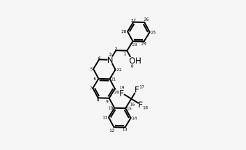 OC(CN1CCc2ccc(-c3ccccc3C(F)(F)F)cc2C1)c1ccccc1